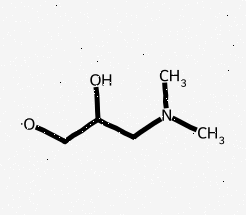 CN(C)CC(O)C[O]